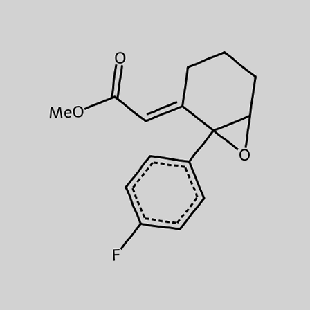 COC(=O)C=C1CCCC2OC12c1ccc(F)cc1